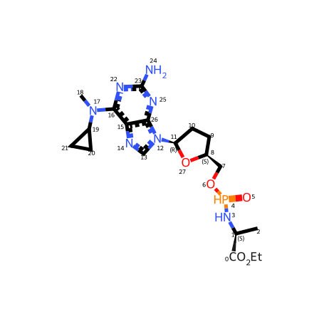 CCOC(=O)[C@H](C)N[PH](=O)OC[C@@H]1CC[C@H](n2cnc3c(N(C)C4CC4)nc(N)nc32)O1